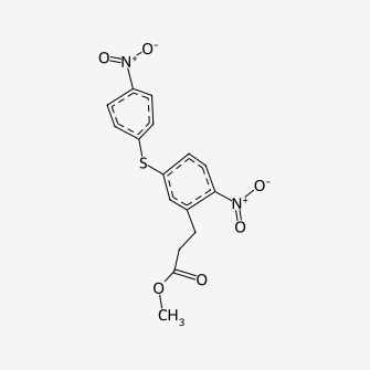 COC(=O)CCc1cc(Sc2ccc([N+](=O)[O-])cc2)ccc1[N+](=O)[O-]